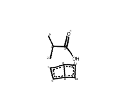 CC(C)C(=O)O.c1cc2ccc1-2